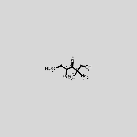 NC(CC(=O)O)C(=O)C(N)(CO)C(=O)O